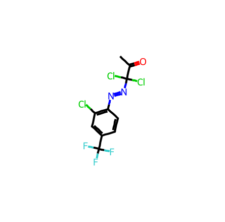 CC(=O)C(Cl)(Cl)N=Nc1ccc(C(F)(F)F)cc1Cl